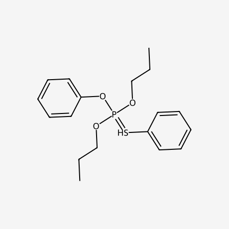 CCCOP(OCCC)(Oc1ccccc1)=[SH]c1ccccc1